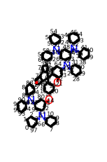 c1ccc(N(c2ccccc2)c2cc(Oc3ccc4c(c3)Oc3cc(N(c5ccccc5)c5cc(N(c6ccccc6)c6ccccc6)cc(N(c6ccccc6)c6ccccc6)c5)ccc3C43c4ccccc4-c4ccccc43)cc(N(c3ccccc3)c3ccccc3)c2)cc1